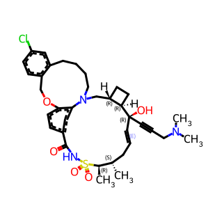 C[C@@H]1[C@@H](C)C/C=C/[C@@](O)(C#CCN(C)C)[C@@H]2CC[C@H]2CN2CCCCc3cc(Cl)ccc3COc3ccc(cc32)C(=O)NS1(=O)=O